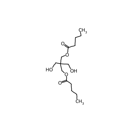 CCCCC(=O)OCC(CO)(CO)COC(=O)CCCC